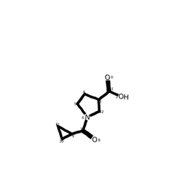 O=C(O)C1CCN(C(=O)C2CC2)C1